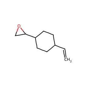 C=CC1CCC(C2CO2)CC1